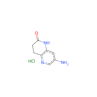 Cl.Nc1cnc2c(c1)NC(=O)CC2